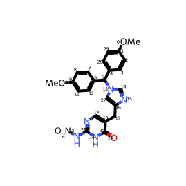 COc1ccc(C(c2ccc(OC)cc2)n2cnc(Cc3cnc(N[N+](=O)[O-])[nH]c3=O)c2)cc1